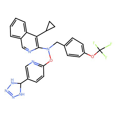 FC(F)(F)Oc1ccc(CN(Oc2ccc(C3NN=NN3)cn2)c2ncc3ccccc3c2C2CC2)cc1